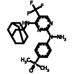 CP(C)(=O)c1ccc(N(N)c2ncc(C(F)(F)F)c(NC34CC5CC(CC(C5)C3)C4)n2)cc1